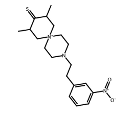 CC1C[N+]2(CCN(CCc3cccc([N+](=O)[O-])c3)CC2)CC(C)C1=S